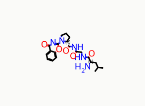 CC(C)C[C@H](N)C(=O)NCC(=O)NC(=O)[C@H]1CCCN1c1nc(=O)c2ccccc2o1